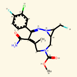 C/C1=C(C(N)=O)\C(c2ccc(F)c(Cl)c2)=N/N2C(CF)C2CN(C(=O)OC(C)(C)C)C1